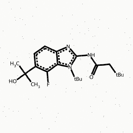 CC(C)(C)CC(=O)Nc1nc2ccc(C(C)(C)O)c(F)c2n1C(C)(C)C